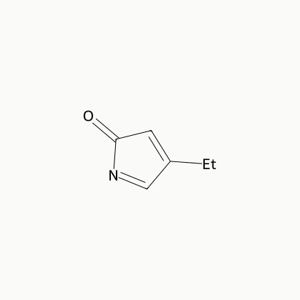 CCC1=CC(=O)N=C1